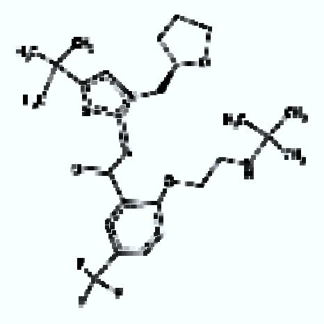 CC(C)(C)NCCOc1ccc(C(F)(F)F)cc1C(=O)/N=c1\sc(C(C)(C)C)cn1C[C@H]1CCCO1